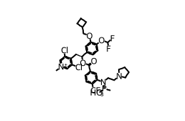 C[n+]1cc(Cl)c(C[C@H](OC(=O)c2ccc(C(F)(F)F)c(N(CCN3CCCC3)P(C)O)c2)c2ccc(OC(F)F)c(OCC3CCC3)c2)c(Cl)c1